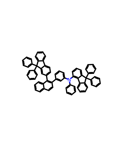 c1ccc(N(c2cccc(-c3ccc4ccccc4c3-c3ccc4c(c3)C(c3ccccc3)(c3ccccc3)c3ccccc3-4)c2)c2cccc3c2-c2ccccc2C3(c2ccccc2)c2ccccc2)cc1